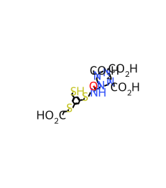 O=C(O)CCSCc1cc(CS)cc(CSCCNC(=O)CN2CCN(CC(=O)O)CCN(CC(=O)O)CCN(CC(=O)O)CC2)c1